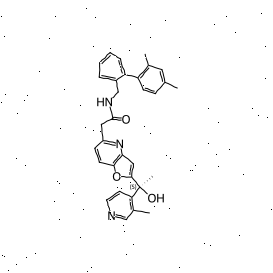 Cc1ccc(-c2ccccc2CNC(=O)Cc2ccc3oc([C@@](C)(O)c4ccncc4C)cc3n2)c(C)c1